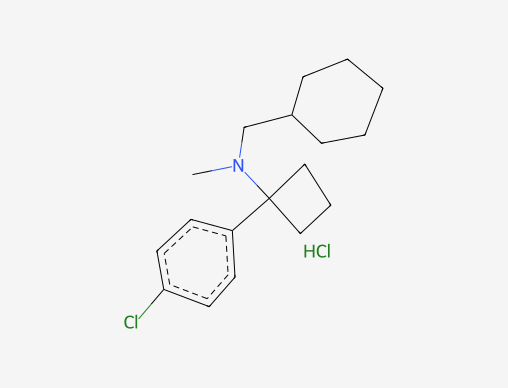 CN(CC1CCCCC1)C1(c2ccc(Cl)cc2)CCC1.Cl